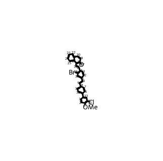 COc1ccc(-c2ccc(C=Cc3ccc(-c4cc5c(ccc6ccccc65)o4)c(Br)c3)cc2)cc1Cl